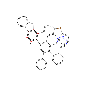 Cc1cc2c(c(-c3ccc4sc5ccccc5c4c3-c3c(-c4ccccc4)cc(-c4ccccc4)c(-c4ccccc4)c3-c3ccnnn3)c1C)Cc1ccccc1-2